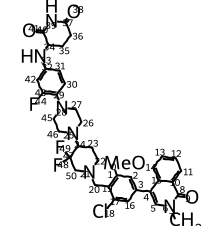 COc1cc(-c2cn(C)c(=O)c3ccccc23)cc(Cl)c1CN1CCC(N2CCN(c3ccc(NC4CCC(=O)NC4=O)cc3F)CC2)C(F)(F)C1